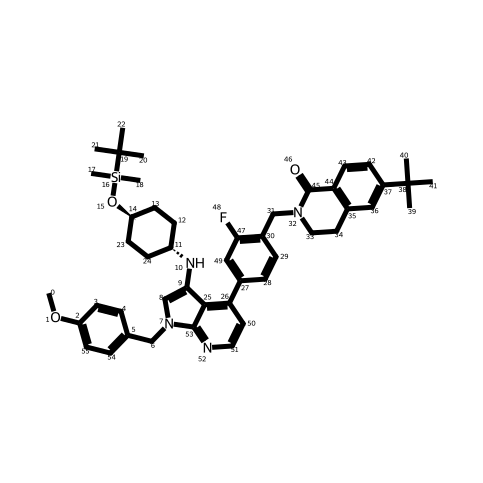 COc1ccc(Cn2cc(N[C@H]3CC[C@H](O[Si](C)(C)C(C)(C)C)CC3)c3c(-c4ccc(CN5CCc6cc(C(C)(C)C)ccc6C5=O)c(F)c4)ccnc32)cc1